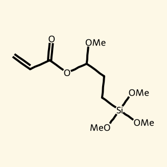 C=CC(=O)OC(CC[Si](OC)(OC)OC)OC